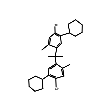 Cc1cc(O)c(C2CCCCC2)cc1C(C)(C)c1cc(C2CCCCC2)c(O)cc1C